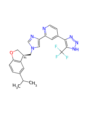 CC(C)c1ccc2c(c1)[C@H](Cn1cnc(-c3cc(-c4nn[nH]c4C(F)(F)F)ccn3)c1)CO2